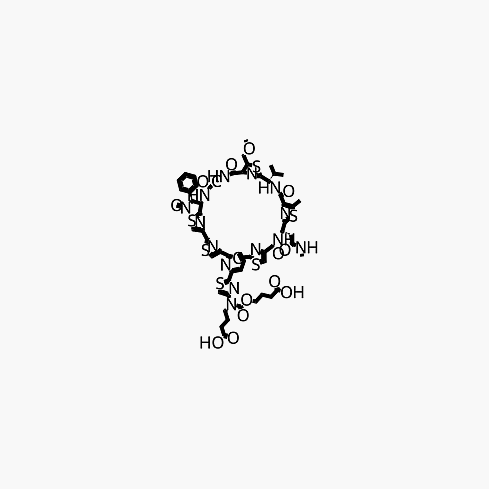 C=C/C=C(\N=C1/Cc2nc(cs2)C(=O)N[C@@H](CC(=O)NC)c2nc(c(C)s2)C(=O)N[C@@H](C(C)C)C2=NC(C(=O)NCC(=O)N[C@@H]([C@@H](N=O)c3ccccc3)c3nc(cs3)-c3nc1cs3)C(COC)S2)c1nc(N(CCCC(=O)O)C(=O)OCCCC(=O)O)cs1